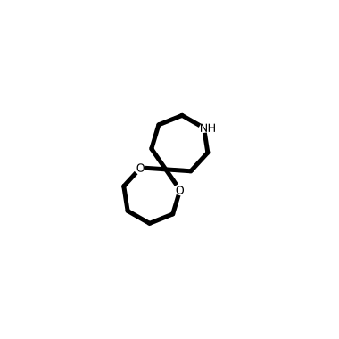 C1CCOC2(CCCNCC2)OC1